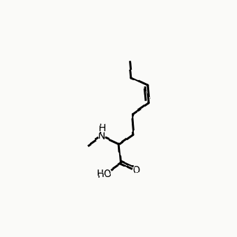 CC/C=C\CCC(NC)C(=O)O